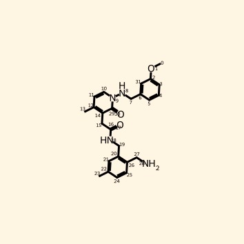 COc1cccc(CNn2ccc(C)c(CC(=O)NCc3cc(C)ccc3CN)c2=O)c1